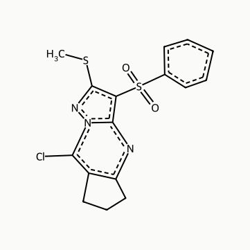 CSc1nn2c(Cl)c3c(nc2c1S(=O)(=O)c1ccccc1)CCC3